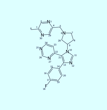 Cc1cnc(CN2CCC(n3cnc(-c4ccc(F)cc4)c3-c3ccncn3)C2)cn1